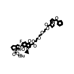 COc1c(N2CC3CCCN(C(=O)OC(C)(C)C)C3C2)c(F)cc2c(=O)c(C(=O)OCCOCCOCCOC(=O)C3CCn4c(C(=O)c5ccccc5)ccc43)cn(C3CC3)c12